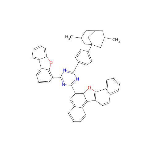 CC1CC2CC(C)CC(c3ccc(-c4nc(-c5cccc6c5oc5ccccc56)nc(-c5cc6ccccc6c6c5oc5c7ccccc7ccc56)n4)cc3)(C1)C2